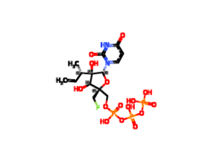 C=C[C@H](C)[C@@]1(O)[C@H](O)[C@@](CF)(COP(=O)(O)OP(=O)(O)OP(=O)(O)O)O[C@H]1n1ccc(=O)[nH]c1=O